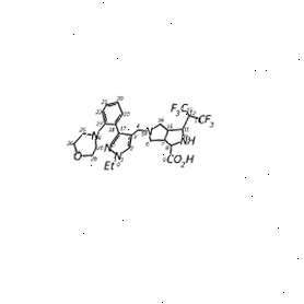 CCn1cc(CN2CC3C(C(=O)O)NC(C(C(F)(F)F)C(F)(F)F)C3C2)c(-c2ccccc2N2CCOCC2)n1